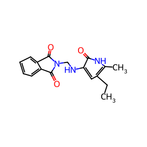 CCc1cc(NCN2C(=O)c3ccccc3C2=O)c(=O)[nH]c1C